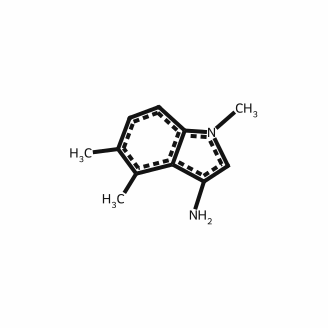 Cc1ccc2c(c(N)cn2C)c1C